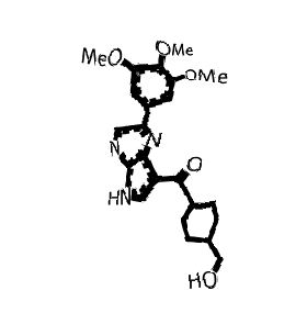 COc1cc(-c2cnc3[nH]cc(C(=O)C4CCC(CO)CC4)c3n2)cc(OC)c1OC